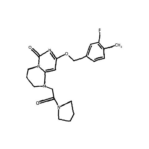 Cc1ccc(COc2cc3n(c(=O)n2)CCCN3CC(=O)N2CCCC2)cc1F